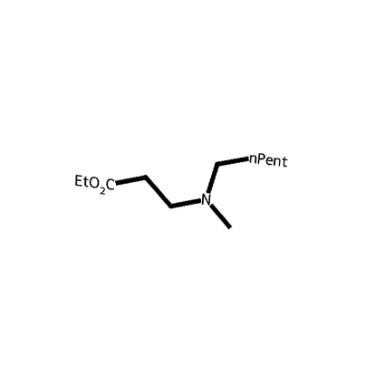 [CH2]COC(=O)CCN(C)CCCCCC